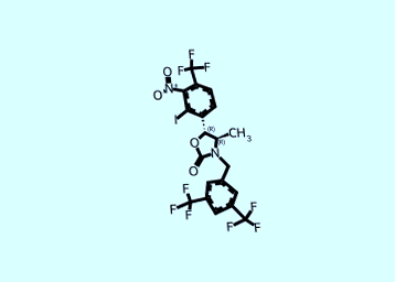 C[C@@H]1[C@@H](c2ccc(C(F)(F)F)c([N+](=O)[O-])c2I)OC(=O)N1Cc1cc(C(F)(F)F)cc(C(F)(F)F)c1